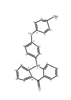 O=C1c2ccccc2[SH](c2ccc(Oc3ccc(O)cc3)cc2)c2ccccc21